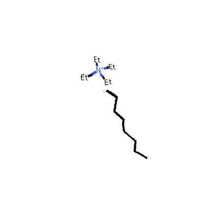 CC[N+](CC)(CC)CC.[CH2]CCCCCCC